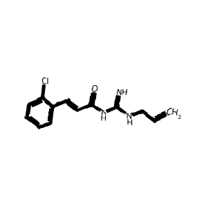 C=CCNC(=N)NC(=O)C=Cc1ccccc1Cl